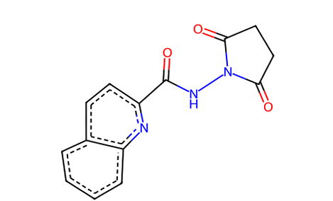 O=C(NN1C(=O)CCC1=O)c1ccc2ccccc2n1